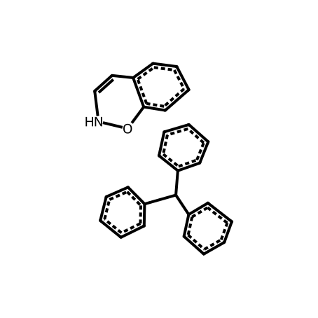 C1=Cc2ccccc2ON1.c1ccc(C(c2ccccc2)c2ccccc2)cc1